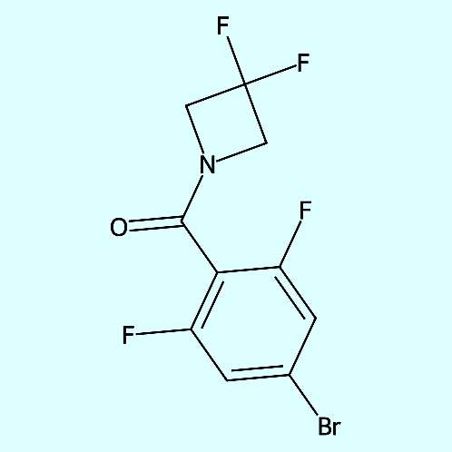 O=C(c1c(F)cc(Br)cc1F)N1CC(F)(F)C1